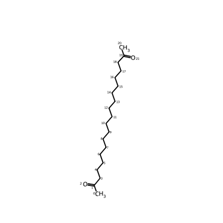 CC(=O)CCCCCCCCCCCCCCCCC(C)=O